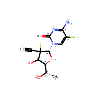 C#CC1(F)C(O)[C@@H]([C@H](C)O)O[C@H]1n1cc(F)c(N)nc1=O